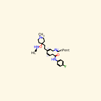 C#CNOC1(CCC(/C=C\CC(=O)Nc2ccc(F)cc2)=C/C/N=C/CCCCC)CCN(C)CC1